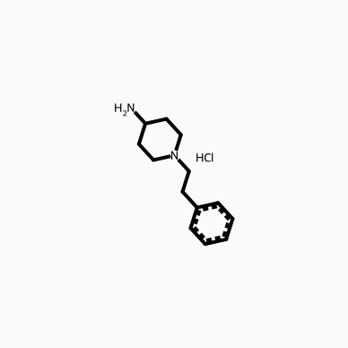 Cl.NC1CCN(CCc2ccccc2)CC1